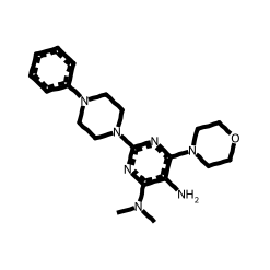 CN(C)c1nc(N2CCN(c3ccccc3)CC2)nc(N2CCOCC2)c1N